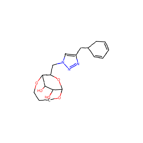 OC1C2OCCCOC(C(Cn3cc(CC4C=CC=CC4)nn3)O2)C1O